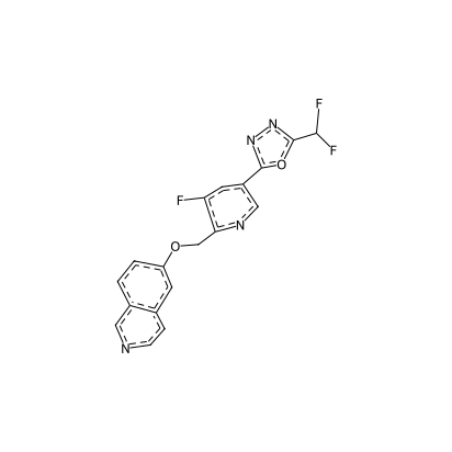 Fc1cc(-c2nnc(C(F)F)o2)cnc1COc1ccc2cnccc2c1